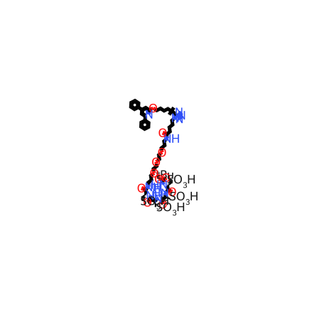 CC(C)(C)OC(=O)N[C@@H](CS(=O)(=O)O)C(=O)N[C@@H](CS(=O)(=O)O)C(=O)N[C@@H](CS(=O)(=O)O)C(=O)N[C@@H](CS(=O)(=O)O)C(=O)NCCCOCCOCCOCCCNC(=O)CCCCn1nnnc1C(C)(C)CCCCOc1cc(-c2ccccc2)cc(-c2ccccc2)n1